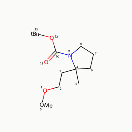 COOCCC1(C)CCCN1C(=O)OC(C)(C)C